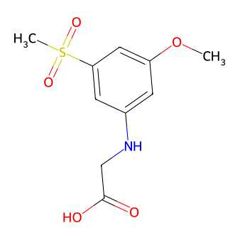 COc1cc(NCC(=O)O)cc(S(C)(=O)=O)c1